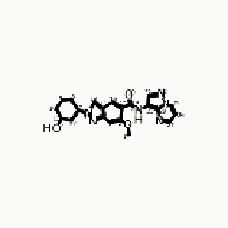 COc1cc2nn(C3CCCC(O)C3)cc2cc1C(=O)Nc1cnn2cccnc12